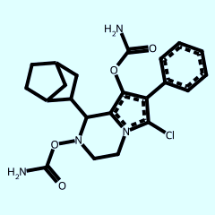 NC(=O)Oc1c(-c2ccccc2)c(Cl)n2c1C(C1CC3CCC1C3)N(OC(N)=O)CC2